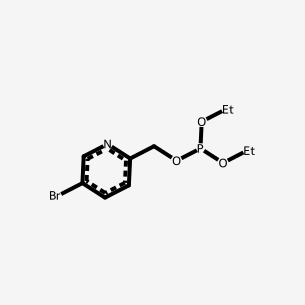 CCOP(OCC)OCc1ccc(Br)cn1